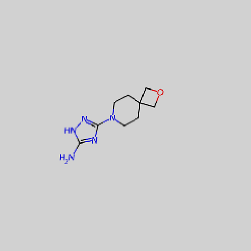 Nc1nc(N2CCC3(CC2)COC3)n[nH]1